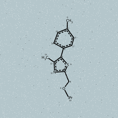 Cc1ccc(-c2sc(COC(C)C)nc2C)cc1